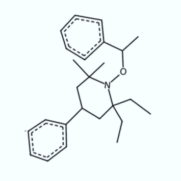 CCC1(CC)CC(c2c[c]ccc2)CC(C)(C)N1OC(C)c1ccccc1